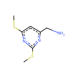 CSc1cc(CN)nc(SC)n1